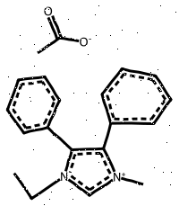 CC(=O)[O-].CCn1c[n+](C)c(-c2ccccc2)c1-c1ccccc1